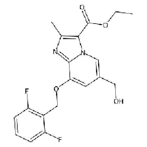 CCOC(=O)c1c(C)nc2c(OCc3c(F)cccc3F)cc(CO)cn12